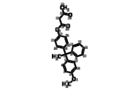 COc1ccc(C(C)(c2ccccc2)c2ccc(OC(=O)CC(C)=O)cc2)cc1